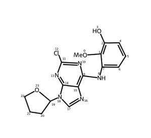 COc1c(O)cccc1Nc1nc(Cl)nc2c1ncn2C1CCCO1